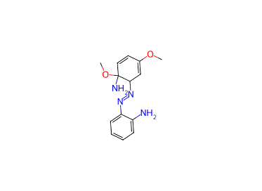 COC1=CC(/N=N/c2ccccc2N)C(N)(OC)C=C1